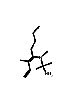 C=C/C(C)=C(/CCCC)N(C)C(C)(C)N